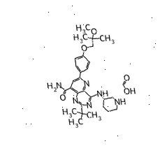 COC(C)(C)COc1ccc(-c2cc(C(N)=O)c3nc(C(C)(C)C)nc(N[C@H]4CCCNC4)c3n2)cc1.O=CO